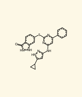 O=c1[nH][nH]c2cc(Sc3nc(Nc4cc(C5CC5)[nH]n4)cc(-c4ccccc4)n3)ccc12